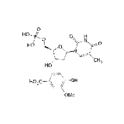 COc1cc(C(=O)O)ccc1O.Cc1cn([C@H]2C[C@H](O)[C@@H](COP(=O)(O)O)O2)c(=O)[nH]c1=O